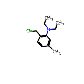 CCN(CC)c1cc(C)ccc1CCl